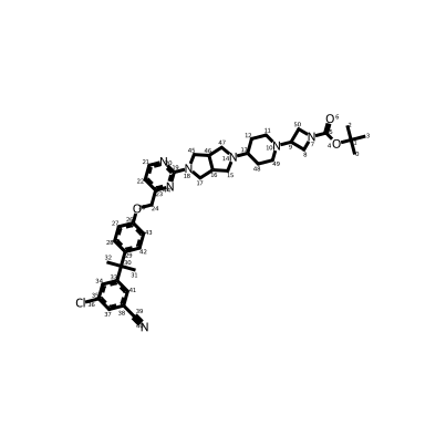 CC(C)(C)OC(=O)N1CC(N2CCC(N3CC4CN(c5nccc(COc6ccc(C(C)(C)c7cc(Cl)cc(C#N)c7)cc6)n5)CC4C3)CC2)C1